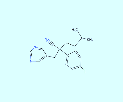 CC(C)CCC(C#N)(Cc1cncnc1)c1ccc(F)cc1